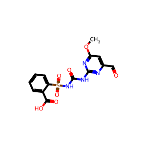 COc1cc(C=O)nc(NC(=O)NS(=O)(=O)c2ccccc2C(=O)O)n1